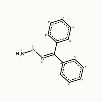 BNN=C(c1ccccc1)c1ccccc1